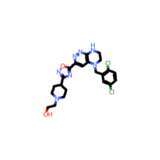 OCCN1CCC(c2noc(-c3cc4c(nn3)NCCN4Cc3cc(Cl)ccc3Cl)n2)CC1